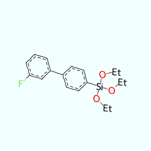 CCO[Si](OCC)(OCC)c1ccc(-c2cccc(F)c2)cc1